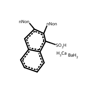 CCCCCCCCCc1cc2ccccc2c(S(=O)(=O)O)c1CCCCCCCCC.[BaH2].[CaH2]